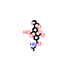 COC(=O)c1cc(C(=O)NCC(C)C)ccc1-c1cc2c(cc1C(=O)O)-c1sccc1CO2